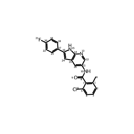 Cc1cccc(Cl)c1C(=O)Nc1cnc2[nH]c(-c3ccc(F)cc3)cc2c1